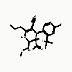 CCCC1=C(C#N)C(c2ccc(F)cc2C(F)(F)F)C(C)(C(=O)O)C(COC)N1